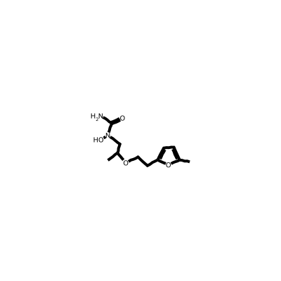 Cc1ccc(CCOC(C)CN(O)C(N)=O)o1